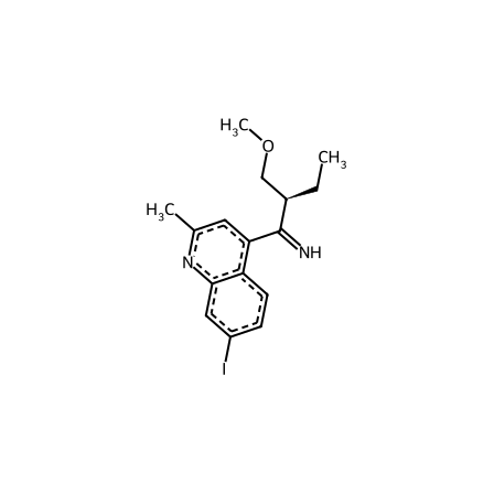 CC[C@H](COC)C(=N)c1cc(C)nc2cc(I)ccc12